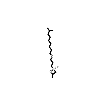 CC(C)CCCCCCCOCCC[N+]1([O-])CC(C)O1